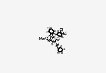 CON=C[C@H](F)[C@H](OCc1ccccc1)[C@@H](COCc1ccccc1)Oc1cc(Cl)c(Cl)cc1Cl